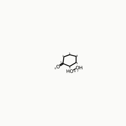 O=C1CCCCC1.OO